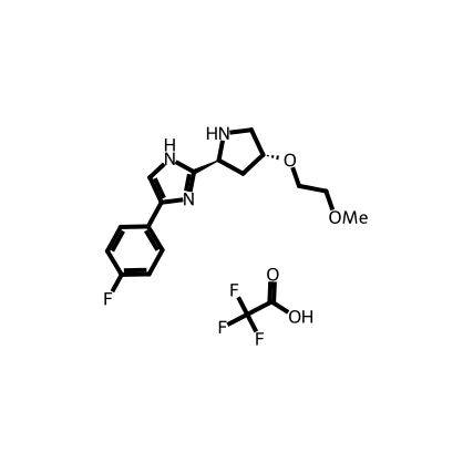 COCCO[C@H]1CN[C@H](c2nc(-c3ccc(F)cc3)c[nH]2)C1.O=C(O)C(F)(F)F